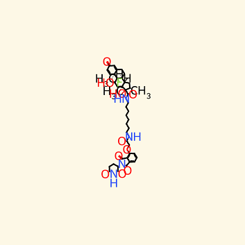 C[C@@H]1C[C@H]2[C@@H]3CCC4=CC(=O)C=C[C@]4(C)[C@@]3(F)[C@@H](O)C[C@]2(C)[C@@]1(O)C(=O)NCCCCCCCCNC(=O)COc1cccc2c1C(=O)N(C1CCC(=O)NC1=O)C2=O